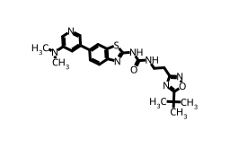 CN(C)c1cncc(-c2ccc3nc(NC(=O)NCCc4noc(C(C)(C)C)n4)sc3c2)c1